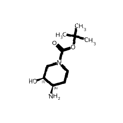 CC(C)(C)OC(=O)N1CC[C@@H](N)[C@@H](O)C1